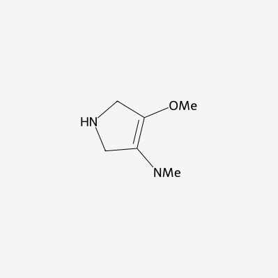 CNC1=C(OC)CNC1